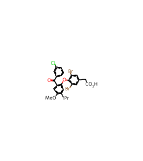 COc1cc(C(=O)c2cccc(Cl)c2)c(Oc2c(Br)cc(CC(=O)O)cc2Br)cc1C(C)C